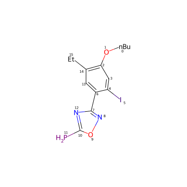 CCCCOc1cc(I)c(-c2noc(P)n2)cc1CC